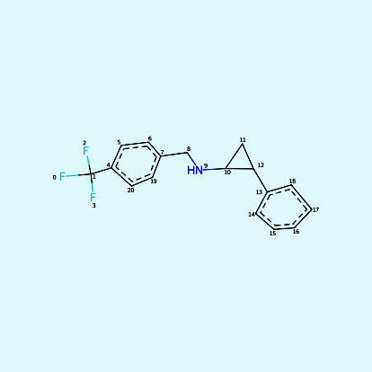 FC(F)(F)c1ccc(CNC2CC2c2ccccc2)cc1